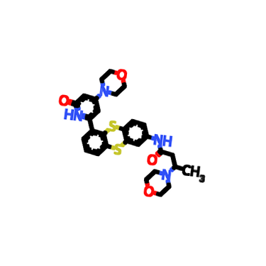 CC(CC(=O)Nc1ccc2c(c1)Sc1cccc(-c3cc(N4CCOCC4)cc(=O)[nH]3)c1S2)N1CCOCC1